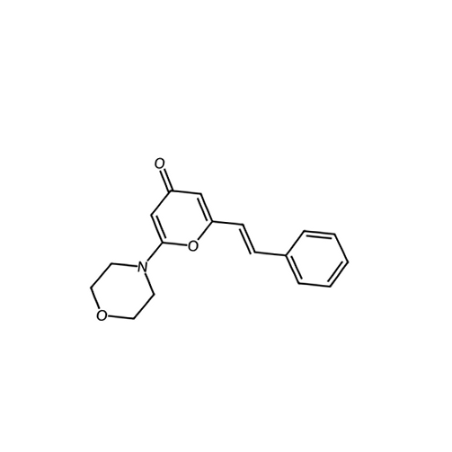 O=c1cc(C=Cc2ccccc2)oc(N2CCOCC2)c1